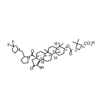 CC(C)C1=C2[C@H]3CC[C@@H]4[C@@]5(C)CC[C@H](OC(=O)[C@H]6C[C@@H](C(=O)O)C6(C)C)C(C)(C)[C@@H]5CC[C@@]4(C)[C@]3(C)CC[C@@]2(C(=O)N2CCCC2CN2CCC(F)(F)C2)CC1=O